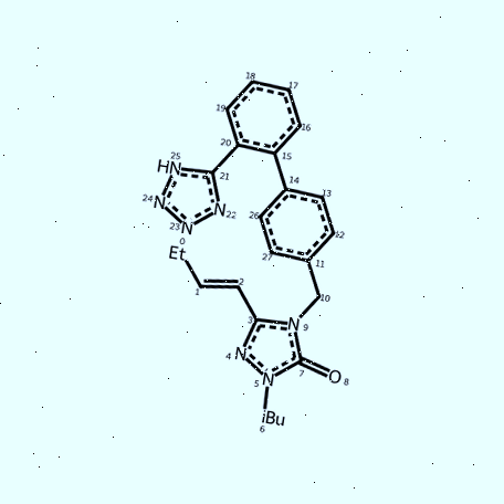 CCC=Cc1nn(C(C)CC)c(=O)n1Cc1ccc(-c2ccccc2-c2nnn[nH]2)cc1